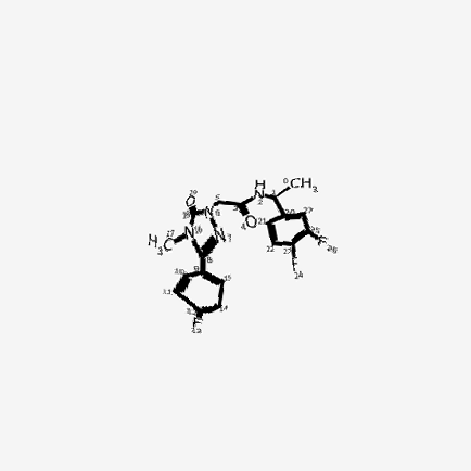 C[C@H](NC(=O)Cn1nc(-c2ccc(F)cc2)n(C)c1=O)c1ccc(F)c(F)c1